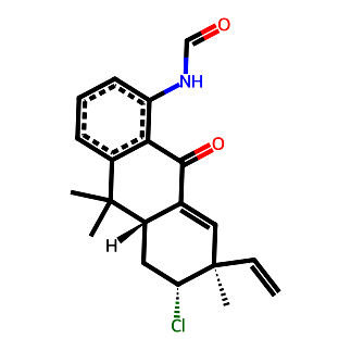 C=C[C@]1(C)C=C2C(=O)c3c(NC=O)cccc3C(C)(C)[C@H]2C[C@H]1Cl